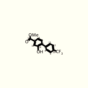 COC(=O)c1ccc(-c2ccc(C(F)(F)F)cc2)c(O)c1